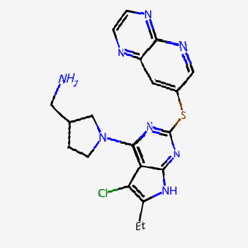 CCc1[nH]c2nc(Sc3cnc4nccnc4c3)nc(N3CCC(CN)C3)c2c1Cl